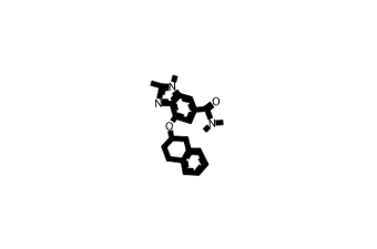 Cc1nc2c(OC3CCc4ccccc4C3)cc(C(=O)N(C)C)cc2n1C